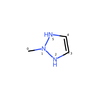 CN1N[C]=CN1